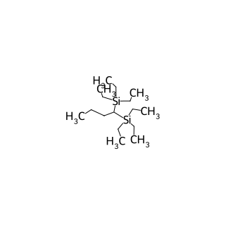 CCCC([Si](CC)(CC)CC)[Si](CC)(CC)CC